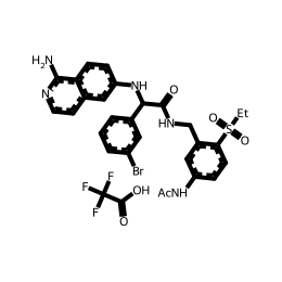 CCS(=O)(=O)c1ccc(NC(C)=O)cc1CNC(=O)C(Nc1ccc2c(N)nccc2c1)c1cccc(Br)c1.O=C(O)C(F)(F)F